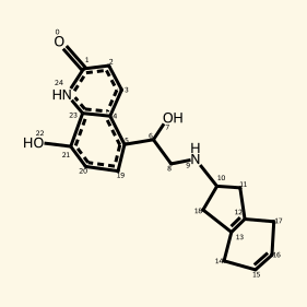 O=c1ccc2c(C(O)CNC3CC4=C(CC=CC4)C3)ccc(O)c2[nH]1